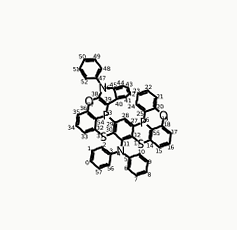 c1ccc(N(c2ccccc2)c2c3sc4cccc5oc6ccccc6p(c3cc3c2sc2cccc6oc7c(c8ccccc8n7-c7ccccc7)p3c62)c54)cc1